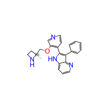 C[C@@]1(COc2cnccc2-c2[nH]c3cccnc3c2-c2ccccc2)CCN1